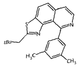 Cc1cc(C)cc(-c2nccc3ccc4sc(CC(C)(C)C)nc4c23)c1